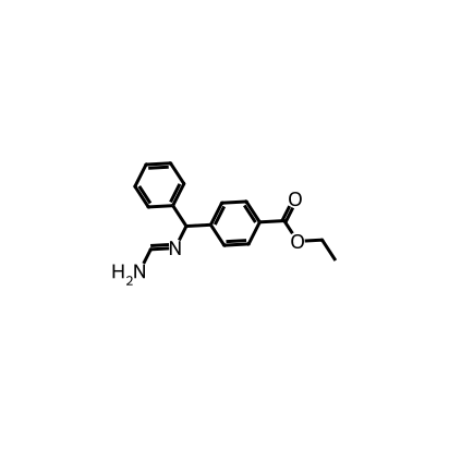 CCOC(=O)c1ccc(C(N=CN)c2ccccc2)cc1